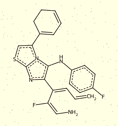 C=C/C=C(\C(F)=C/N)c1nc2scc(C3=CC=CCC3)n2c1Nc1ccc(F)cc1